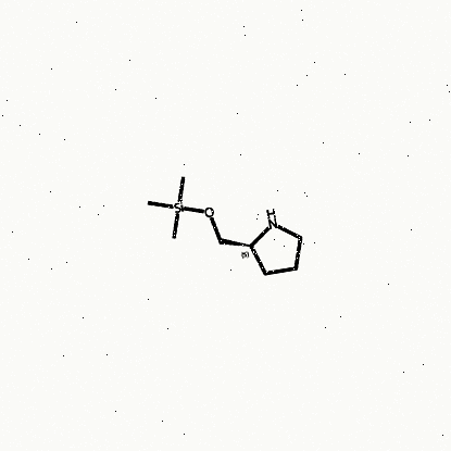 C[Si](C)(C)OC[C@@H]1CCCN1